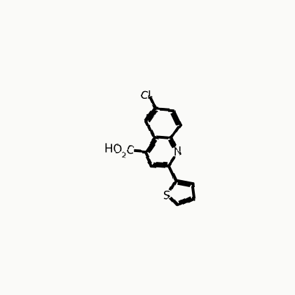 O=C(O)c1cc(-c2cccs2)nc2ccc(Cl)cc12